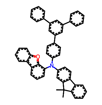 CC1(C)c2ccccc2-c2ccc(N(c3ccc(-c4cc(-c5ccccc5)cc(-c5ccccc5)c4)cc3)c3cccc4c3oc3ccccc34)cc21